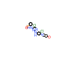 CP(C)(=O)c1ccccc1Nc1nc(Nc2ccc(N3CC4CC(=O)CC4C3)c(Cl)c2)ncc1Cl